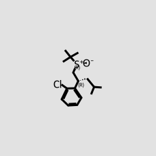 CC(C)C[C@@H](C[S@+]([O-])C(C)(C)C)c1ccccc1Cl